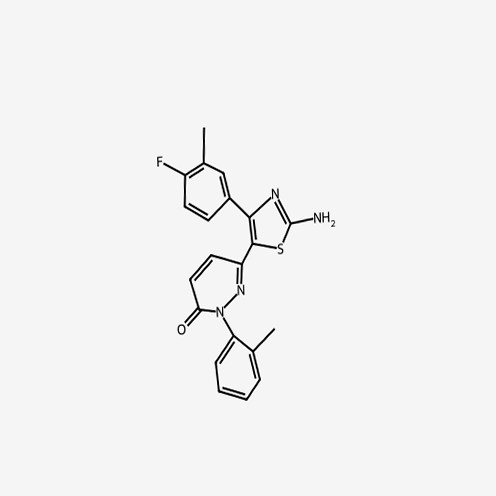 Cc1cc(-c2nc(N)sc2-c2ccc(=O)n(-c3ccccc3C)n2)ccc1F